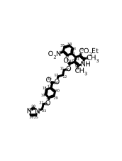 CCOC(=O)C1=C(C)NC(C)=C(C(=O)OCCCOC(=O)c2ccc(OCCn3ccnc3)cc2)C1c1cccc([N+](=O)[O-])c1